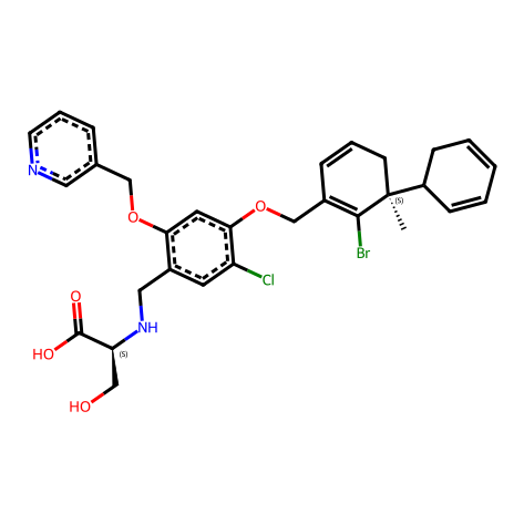 C[C@@]1(C2C=CC=CC2)CC=CC(COc2cc(OCc3cccnc3)c(CN[C@@H](CO)C(=O)O)cc2Cl)=C1Br